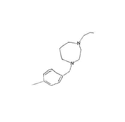 CCN1CCCN(Cc2ccc(C)cc2)CC1